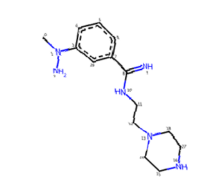 CN(N)c1cccc(C(=N)NCCN2CCNCC2)c1